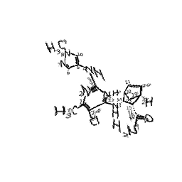 Cc1nc(Nc2cnn(C)c2)nc(N[C@H]2[C@@H](C(N)=O)[C@@H]3C=C[C@H]2C3)c1Cl